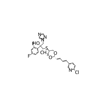 C[C@@H](S[C@H]1CO[C@H](/C=C/C=C/c2ccc(Cl)nc2)OC1)[C@](O)(Cn1cncn1)c1ccc(F)cc1F